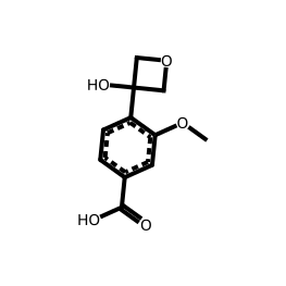 COc1cc(C(=O)O)ccc1C1(O)COC1